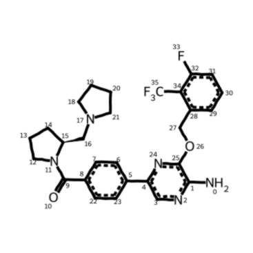 Nc1ncc(-c2ccc(C(=O)N3CCC[C@H]3CN3CCCC3)cc2)nc1OCc1cccc(F)c1C(F)(F)F